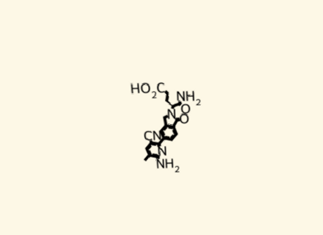 Cc1cc(C#N)c(-c2ccc3c(c2)CN([C@@H](CCC(=O)O)C(N)=O)C3=O)nc1N